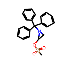 CS(=O)(=O)OC1CN1C(c1ccccc1)(c1ccccc1)c1ccccc1